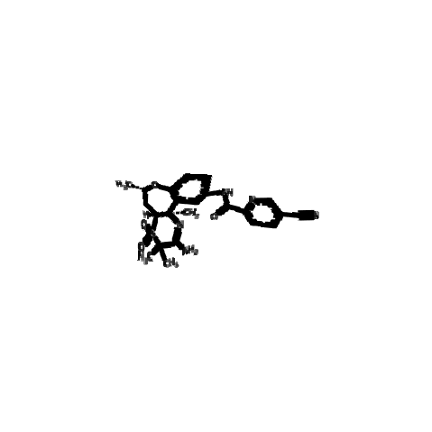 C[C@H]1C[C@@H]2[C@](C)(N=C(N)C(C)(C)S2(=O)=O)c2cc(NC(=O)c3ccc(C#N)cn3)ccc2O1